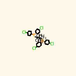 CC(C)(CP(c1ccc(Cl)cc1)c1ccc(Cl)cc1)C(C)(C)CP(c1ccc(Cl)cc1)c1ccc(Cl)cc1